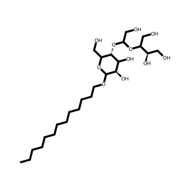 CCCCCCCCCCCCCOC1OC(CO)[C@H](OC(CO)OC(CO)[C@H](O)CO)C(O)[C@H]1O